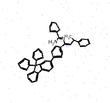 CC(/C=C(\N=C(/N)C1=CC=CCC1)c1ccc(-c2ccc3c(c2)C(c2ccccc2)(c2ccccc2)c2ccccc2-3)cc1)C1=CCCC=C1